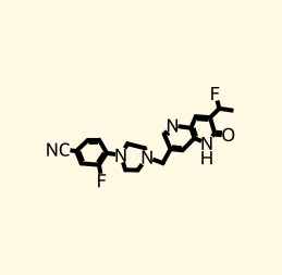 CC(F)c1cc2ncc(CN3CCN(c4ccc(C#N)cc4F)CC3)cc2[nH]c1=O